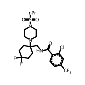 CCCS(=O)(=O)N1CCN(C2(CNC(=O)c3ccc(C(F)(F)F)cc3Cl)CCC(F)(F)CC2)CC1